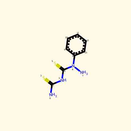 NC(=S)NC(=S)N(N)c1ccccc1